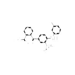 Cc1cccc(Nc2ccc(C(=O)c3ccccc3C(=O)O)cc2[N+](=O)[O-])c1